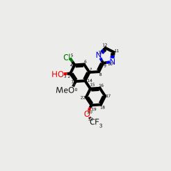 COc1c(O)c(Cl)cc(C=C2N=CC=N2)c1-c1cccc(OC(F)(F)F)c1